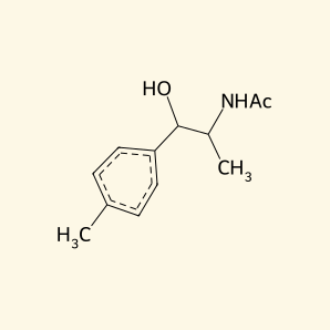 CC(=O)NC(C)C(O)c1ccc(C)cc1